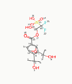 CC(C)(O)c1c(C(C)(C)O)c2oc1cc2C(=O)OC(O)C(F)(F)S(=O)(=O)O